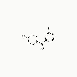 Cc1cccc(C(=O)N2CCC(=O)CC2)c1